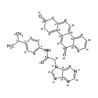 CC(C)c1ccc(NC(=O)Cn2cnc3ncncc32)cc1.O=C1CC=c2c(ccc3c2=CC(=O)c2ccccc2-3)C1